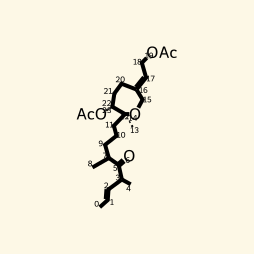 C/C=C/C(C)C(=O)C(C)CCC[C@]1(C)OC/C(=C/COC(C)=O)CC[C@H]1OC(C)=O